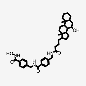 CC12CCC3C(C(O)CC4CCCCC43C)C1CCC2CCCC(=O)NCc1ccc(C(=O)NCc2ccc(C(=O)NO)cc2)cc1